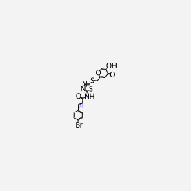 O=C(/C=C/c1ccc(Br)cc1)Nc1nnc(SCc2cc(=O)c(O)co2)s1